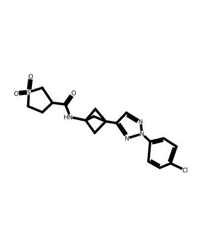 O=C(NC12CC(c3cnn(-c4ccc(Cl)cc4)n3)(C1)C2)C1CCS(=O)(=O)C1